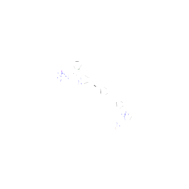 CC(=O)NCc1ccn(Cc2ccc(COc3ccc(C#Cc4ccc(C(F)(F)C(O)(Cn5cnnn5)c5ccc(F)cc5F)nc4)cc3)cc2)n1